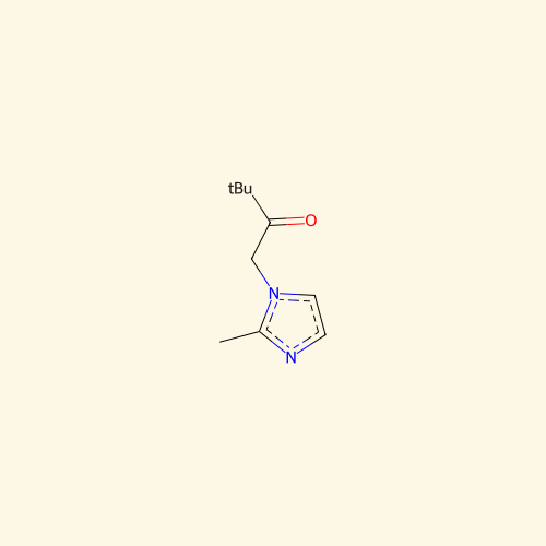 Cc1nccn1CC(=O)C(C)(C)C